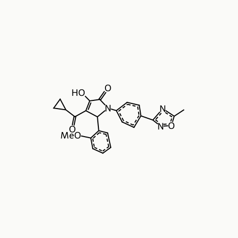 COc1ccccc1C1C(C(=O)C2CC2)=C(O)C(=O)N1c1ccc(-c2noc(C)n2)cc1